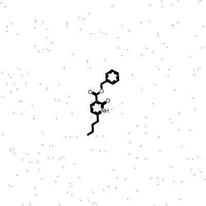 CCCCc1ccc(C(=O)OCc2ccccc2)c(=O)[nH]1